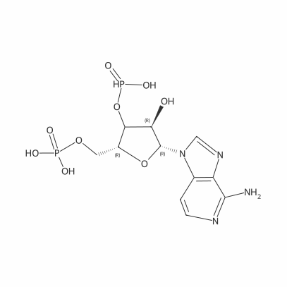 Nc1nccc2c1ncn2[C@@H]1O[C@H](COP(=O)(O)O)C(O[PH](=O)O)[C@H]1O